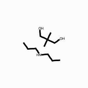 CC(C)(CO)CO.CCCNCCC